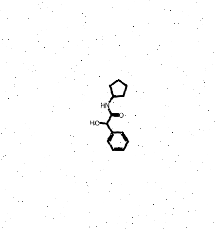 O=C(NC1CCCC1)C(O)c1ccccc1